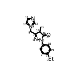 CCc1ccc(N2N=C(Cn3ccnc3)C(C)C2=O)cc1